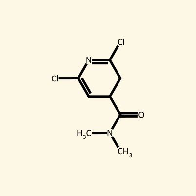 CN(C)C(=O)C1C=C(Cl)N=C(Cl)C1